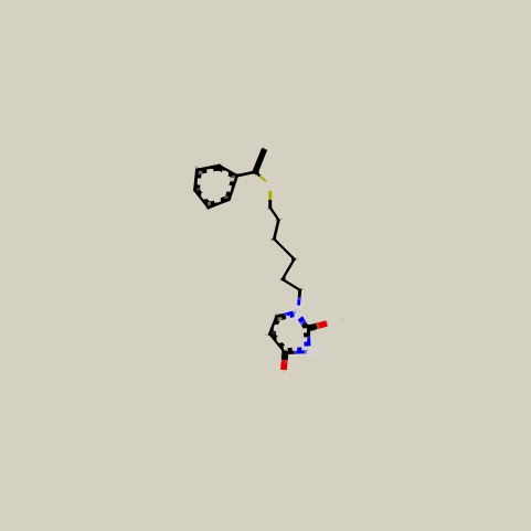 C=C(SCCCCCCn1ccc(=O)[nH]c1=O)c1ccccc1